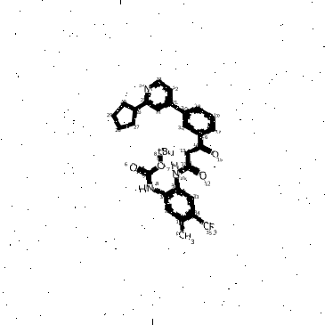 Cc1cc(NC(=O)OC(C)(C)C)c(NC(=O)CC(=O)c2cccc(-c3ccnc(C4CCCC4)c3)c2)cc1C(F)(F)F